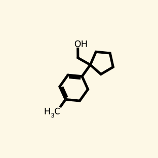 CC1=CC=C(C2(CO)CCCC2)CC1